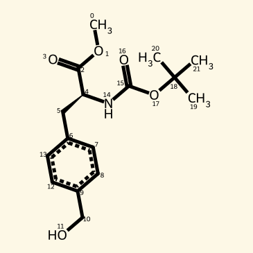 COC(=O)[C@H](Cc1ccc(CO)cc1)NC(=O)OC(C)(C)C